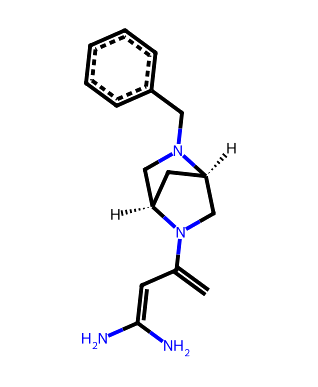 C=C(C=C(N)N)N1C[C@H]2C[C@@H]1CN2Cc1ccccc1